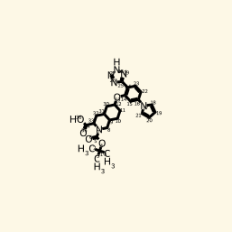 CC(C)(C)OC(=O)N1CC2CCC(Oc3cc(-n4cccc4)ccc3-c3nn[nH]n3)CC2CC1C(=O)O